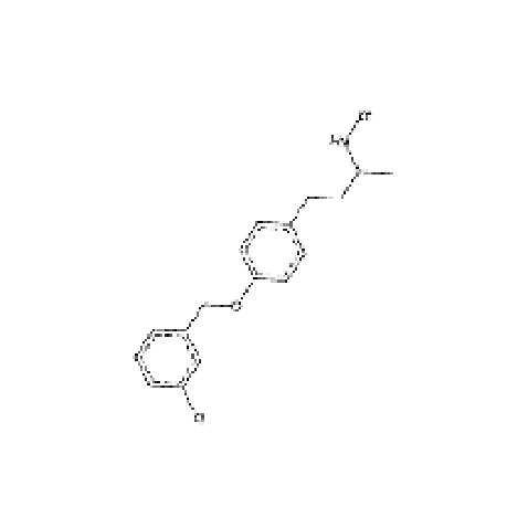 CCNC(C)CCc1ccc(OCc2cccc(Cl)c2)cc1